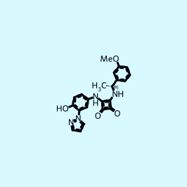 COc1cccc([C@@H](C)Nc2c(Nc3ccc(O)c(-n4cccn4)c3)c(=O)c2=O)c1